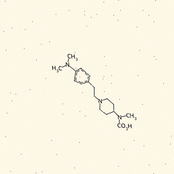 CN(C)c1ccc(CCN2CCC(N(C)C(=O)O)CC2)cc1